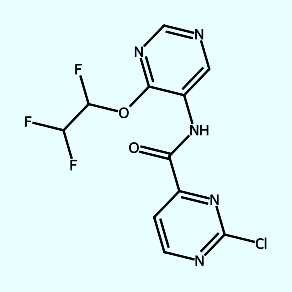 O=C(Nc1cncnc1OC(F)C(F)F)c1ccnc(Cl)n1